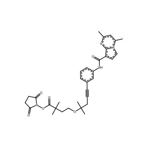 Cc1cc(C)n2ccc(C(=O)Nc3cccc(C#CCC(C)(C)OCCC(C)(C)C(=O)ON4C(=O)CCC4=O)c3)c2n1